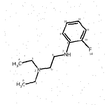 CCN(CC)CCNc1ccccc1F